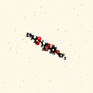 CCC=C[C@H]1CO[C@H](CC[C@H]2CO[C@H](c3ccc(OCC(F)(F)F)cc3)OC2)OC1